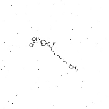 CCCCCCCCCCCC(F)COc1ccc(C(=O)O)cc1